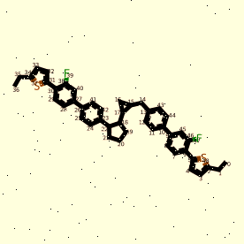 CCc1ccc(-c2ccc(-c3ccc(CC4CC4C4CCCC4c4ccc(-c5ccc(-c6ccc(CC)s6)c(F)c5)cc4)cc3)cc2F)s1